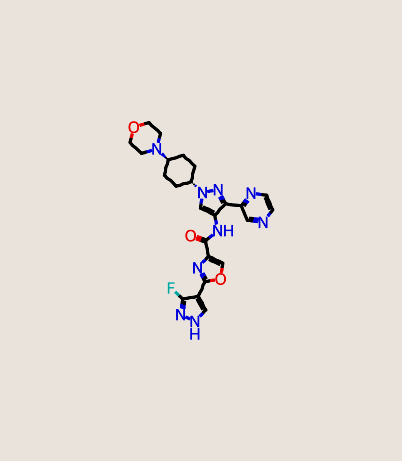 O=C(Nc1cn([C@H]2CC[C@H](N3CCOCC3)CC2)nc1-c1cnccn1)c1coc(-c2c[nH]nc2F)n1